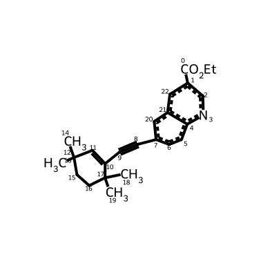 CCOC(=O)c1cnc2ccc(C#CC3=CC(C)(C)CCC3(C)C)cc2c1